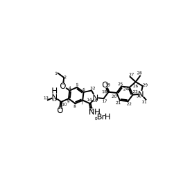 Br.CCOc1cc2c(cc1C(=O)NC)C(=N)N(CC(=O)c1ccc3c(c1)C(C)(C)CN3C)C2